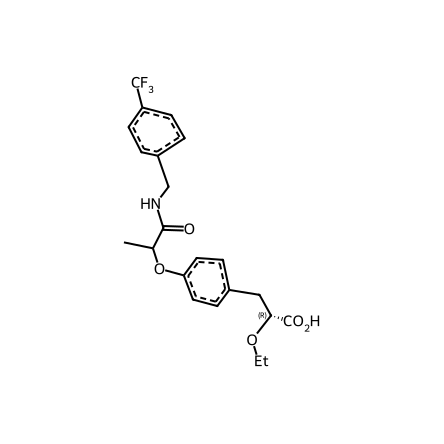 CCO[C@H](Cc1ccc(OC(C)C(=O)NCc2ccc(C(F)(F)F)cc2)cc1)C(=O)O